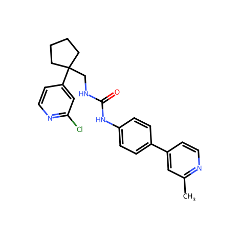 Cc1cc(-c2ccc(NC(=O)NCC3(c4ccnc(Cl)c4)CCCC3)cc2)ccn1